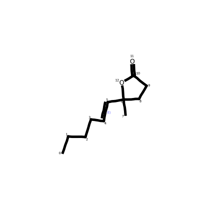 CCCC/C=C/C1(C)CCC(=O)O1